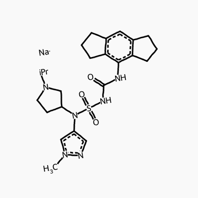 CC(C)N1CCC(N(c2cnn(C)c2)S(=O)(=O)NC(=O)Nc2c3c(cc4c2CCC4)CCC3)C1.[Na]